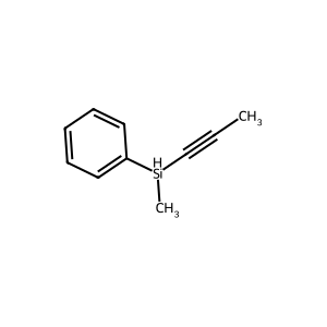 CC#C[SiH](C)c1ccccc1